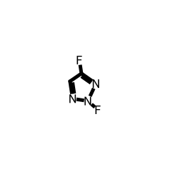 Fc1cnn(F)n1